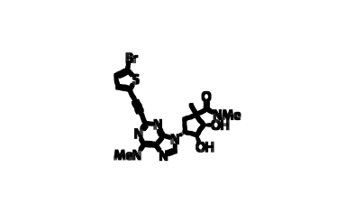 CNC(=O)C1(C)C[C@@H](n2cnc3c(NC)nc(C#Cc4ccc(Br)s4)nc32)[C@H](O)[C@@H]1O